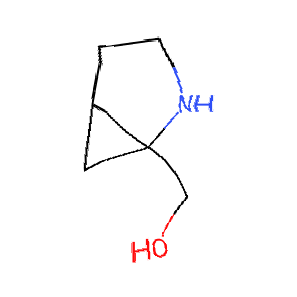 OCC12CC1CCN2